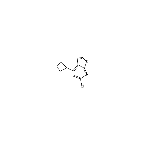 Clc1cc(C2CCC2)c2ccsc2n1